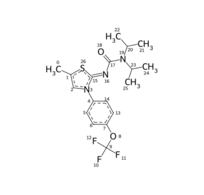 Cc1cn(-c2ccc(OC(F)(F)F)cc2)c(=NC(=O)N(C(C)C)C(C)C)s1